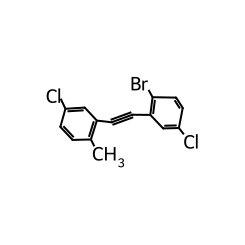 Cc1ccc(Cl)cc1C#Cc1cc(Cl)ccc1Br